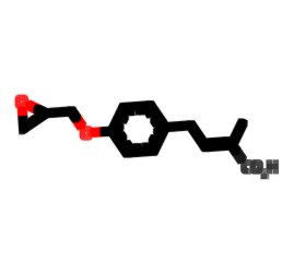 CC(=CCc1ccc(OCC2CO2)cc1)C(=O)O